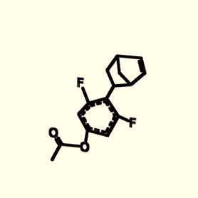 CC(=O)Oc1cc(F)c(C2CC3C=CC2C3)c(F)c1